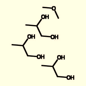 CC(O)CO.CC(O)CO.CC(O)CO.COC